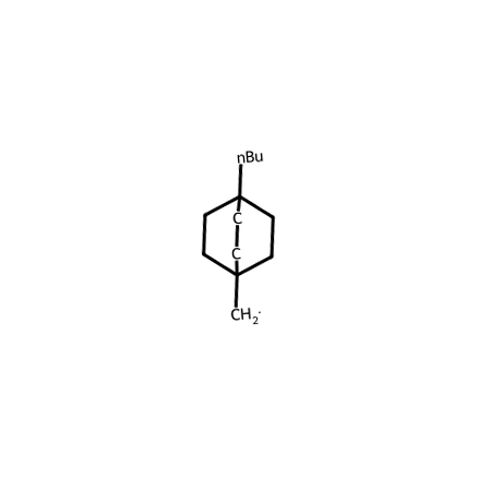 [CH2]C12CCC(CCCC)(CC1)CC2